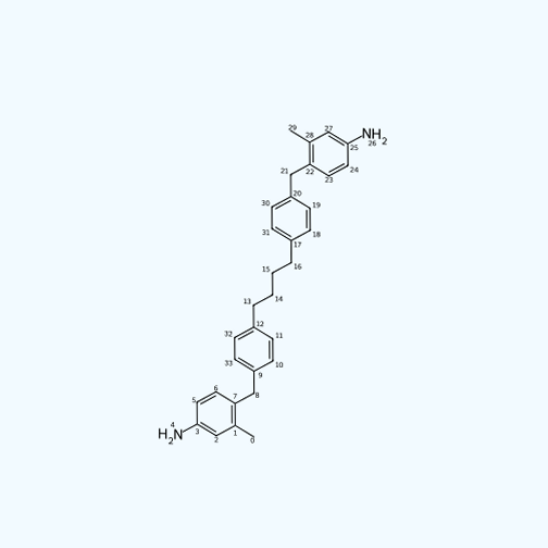 Cc1cc(N)ccc1Cc1ccc(CCCCc2ccc(Cc3ccc(N)cc3C)cc2)cc1